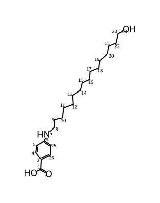 O=C(O)c1ccc(NCCCCCCCCCCCCCCCCO)cc1